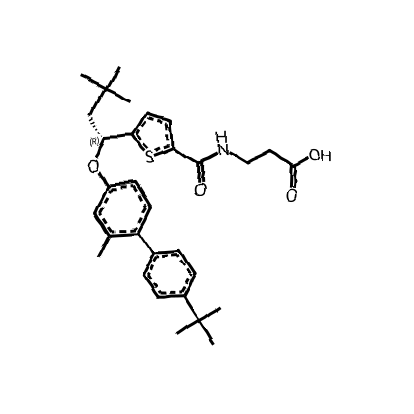 Cc1cc(O[C@H](CC(C)(C)C)c2ccc(C(=O)NCCC(=O)O)s2)ccc1-c1ccc(C(C)(C)C)cc1